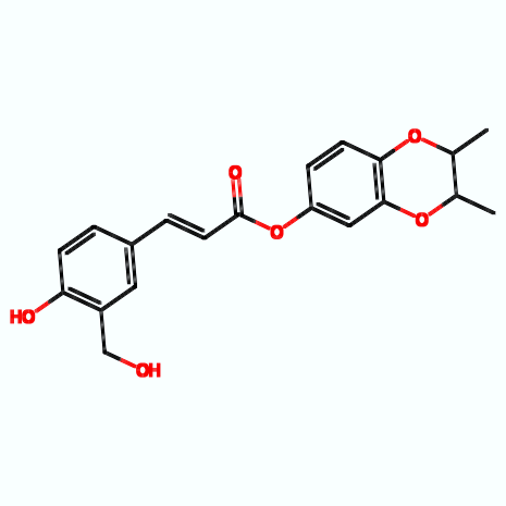 CC1Oc2ccc(OC(=O)/C=C/c3ccc(O)c(CO)c3)cc2OC1C